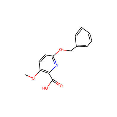 COc1ccc(OCc2ccccc2)nc1C(=O)O